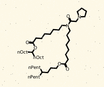 CCCCCCCCC(CCCCCCCC)OC(=O)CCCCCCCN(CCCCCCCC(=O)OCCCC(CCCCC)CCCCC)C(=O)CN1CCCC1